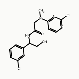 CN(CC(=O)NC(CO)c1cccc(Cl)c1)c1ccnc(Cl)n1